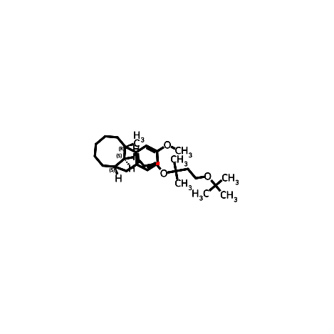 COc1ccc2c(c1)[C@@]1(C)CCCCC[C@@H](C2)[C@@H]1NCCOC(C)(C)CCOC(C)(C)C